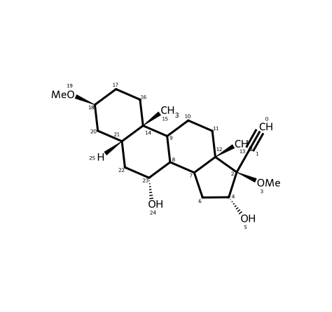 C#C[C@]1(OC)[C@H](O)CC2C3C(CC[C@@]21C)[C@@]1(C)CC[C@H](OC)C[C@H]1C[C@H]3O